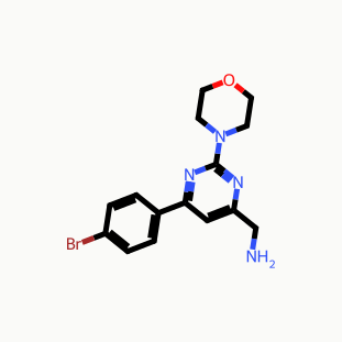 NCc1cc(-c2ccc(Br)cc2)nc(N2CCOCC2)n1